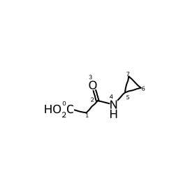 O=C(O)CC(=O)NC1CC1